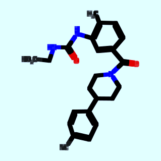 Cc1ccc(C(=O)N2CCC(c3ccc(C#N)cc3)CC2)cc1NC(=O)NCC(=O)O